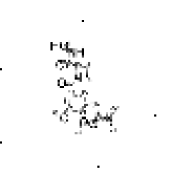 COc1cc(C(=O)N2CCC2C(=O)NO)cc(CC(=O)N(C)C)c1OC